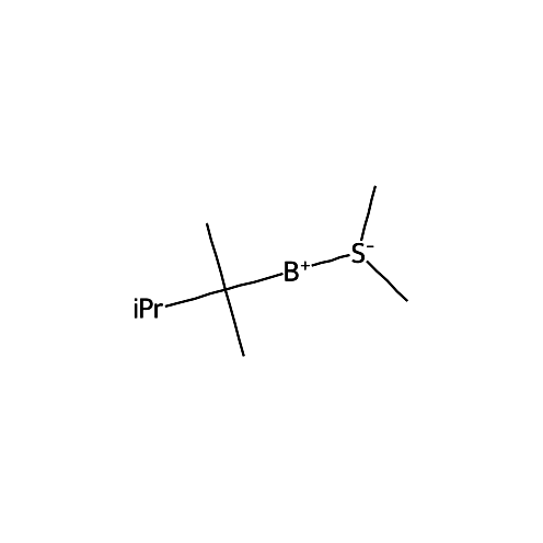 CC(C)C(C)(C)[B+][S-](C)C